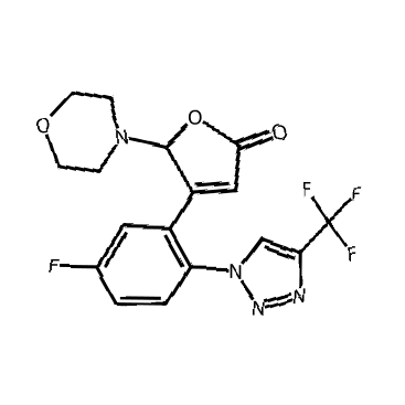 O=C1C=C(c2cc(F)ccc2-n2cc(C(F)(F)F)nn2)C(N2CCOCC2)O1